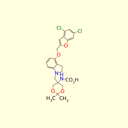 CC1(C)OCC(CN2CCc3c(OCc4cc5c(Cl)cc(Cl)cc5o4)cccc32)(NC(=O)O)CO1